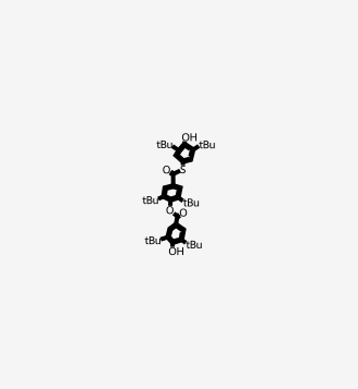 CC(C)(C)c1cc(SC(=O)c2cc(C(C)(C)C)c(OC(=O)c3cc(C(C)(C)C)c(O)c(C(C)(C)C)c3)c(C(C)(C)C)c2)cc(C(C)(C)C)c1O